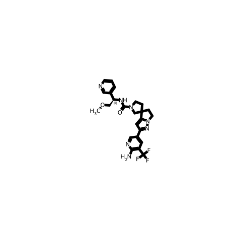 COC[C@H](NC(=O)N1CCC2(CCn3nc(-c4cnc(N)c(C(F)(F)F)c4)cc32)C1)c1cccnc1